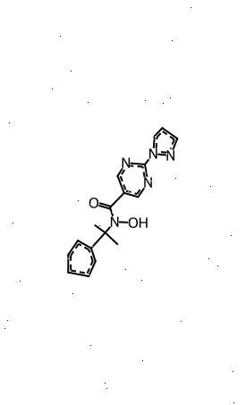 CC(C)(c1ccccc1)N(O)C(=O)c1cnc(-n2cccn2)nc1